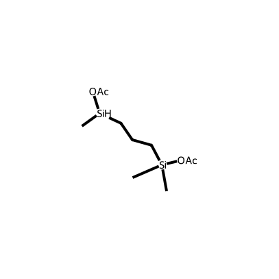 CC(=O)O[SiH](C)CCC[Si](C)(C)OC(C)=O